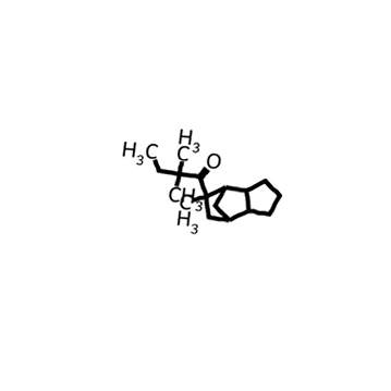 CCC(C)(C)C(=O)C1(C)CC2CC1C1CCCC21